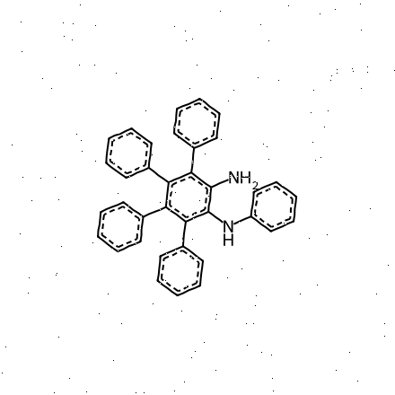 Nc1c(Nc2ccccc2)c(-c2ccccc2)c(-c2ccccc2)c(-c2ccccc2)c1-c1ccccc1